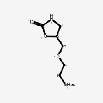 CCCCCCCCOCC1CNC(=O)O1